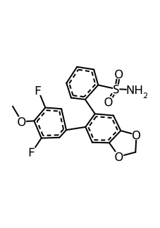 COc1c(F)cc(-c2cc3c(cc2-c2ccccc2S(N)(=O)=O)OCO3)cc1F